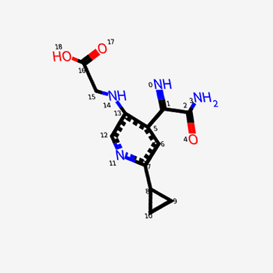 N=C(C(N)=O)c1cc(C2CC2)ncc1NCC(=O)O